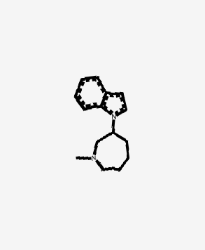 CN1CCCCC(n2ccc3ccccc32)C1